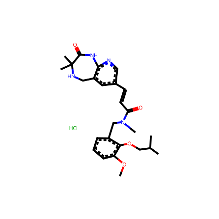 COc1cccc(CN(C)C(=O)C=Cc2cnc3c(c2)CNC(C)(C)C(=O)N3)c1OCC(C)C.Cl